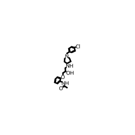 CC(=O)Nc1ccccc1OCC(O)CNC1CCN(Cc2ccc(Cl)cc2)CC1